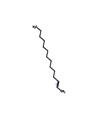 C/C=C/CCCCCCCCCCC